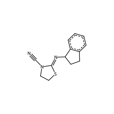 N#CN1CCS/C1=N\C1CCc2ccccc21